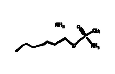 CCCCCCOP(N)(=O)O.N